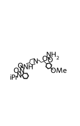 COc1ccc(C(CCN2CCC(CNC(=O)n3c(=O)n(C(C)C)c4ccccc43)CC2)OC(N)=O)cc1